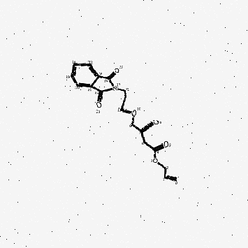 C=CCOC(=O)CC(=O)COCCN1C(=O)c2ccccc2C1=O